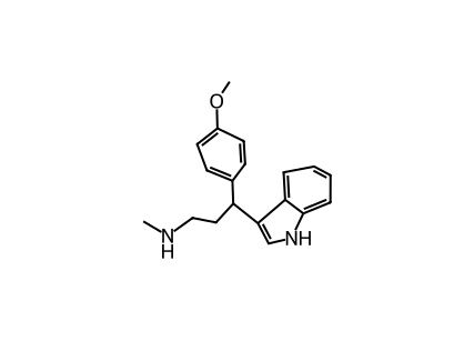 CNCCC(c1ccc(OC)cc1)c1c[nH]c2ccccc12